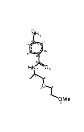 COCCOCC(C)NC(=O)c1ccc(N)cc1